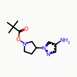 CC(C)(C)C(=O)ON1CCC(n2cc(N)cn2)C1